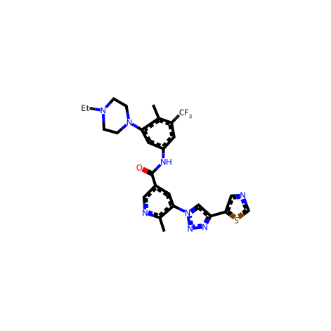 CCN1CCN(c2cc(NC(=O)c3cnc(C)c(-n4cc(-c5cncs5)nn4)c3)cc(C(F)(F)F)c2C)CC1